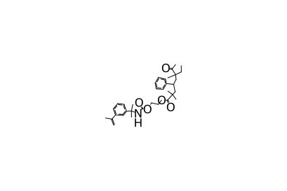 C=C(C)c1cccc(C(C)(C)NC(=O)OCCOC(=O)C(C)(C)CC(CC(C)(CC)C(C)=O)c2ccccc2)c1